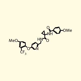 COc1ccc(C(=O)NC2(C(=O)NCc3ccc(Oc4ccc(OC)cc4C(F)(F)F)cn3)CC2)cc1